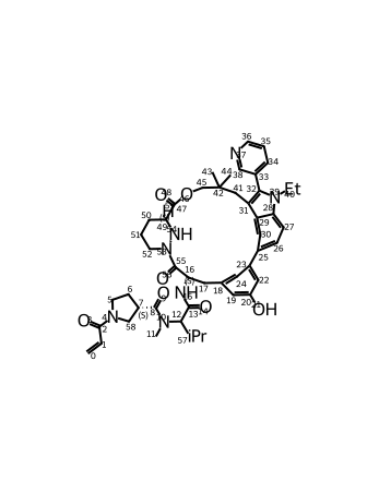 C=CC(=O)N1CC[C@H](C(=O)N(C)C(C(=O)N[C@H]2Cc3cc(O)cc(c3)-c3ccc4c(c3)c(c(-c3cccnc3)n4CC)CC(C)(C)COC(=O)[C@@H]3CCCN(N3)C2=O)C(C)C)C1